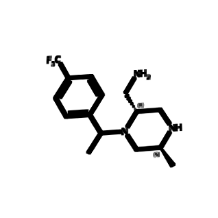 CC(c1ccc(C(F)(F)F)cc1)N1C[C@H](C)NC[C@H]1CN